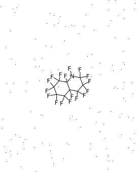 FN1C(F)(F)C(F)(F)C(F)(F)C2(F)C(F)(F)C(F)(F)C(F)(F)C(F)(F)C12F